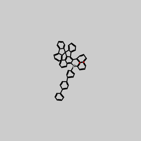 c1ccc(-c2ccc(-c3ccc(N(c4ccccc4)c4c(-c5ccccc5)c5c(c6ccccc46)C4(c6ccccc6-c6ccccc64)c4ccccc4-5)cc3)cc2)cc1